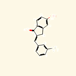 O=C1C(=Cc2cccc(C(F)(F)F)c2)Cc2cc(O)ccc21